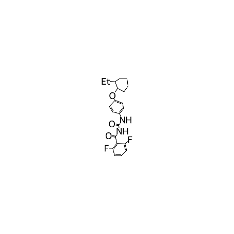 CCC1CCCCC1Oc1ccc(NC(=O)NC(=O)c2c(F)cccc2F)cc1